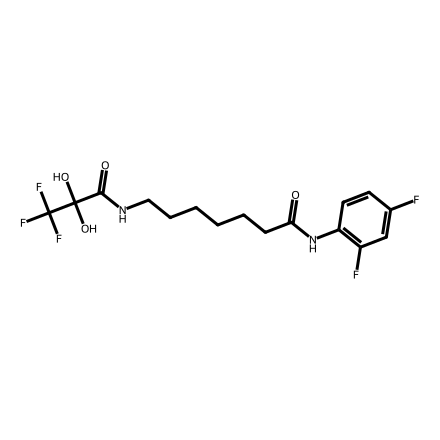 O=C(CCCCCCNC(=O)C(O)(O)C(F)(F)F)Nc1ccc(F)cc1F